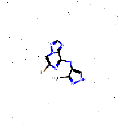 Cc1n[nH]cc1Nc1nc(Br)cn2ncnc12